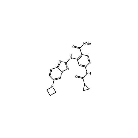 CNC(=O)c1nnc(NC(=O)C2CC2)cc1Nc1nc2ccc(N3CCC3)cn2n1